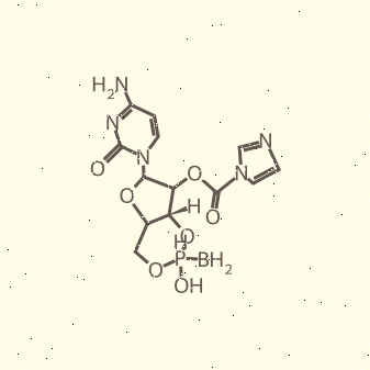 B[PH]1(O)OCC2OC(n3ccc(N)nc3=O)C(OC(=O)n3ccnc3)[C@@H]2O1